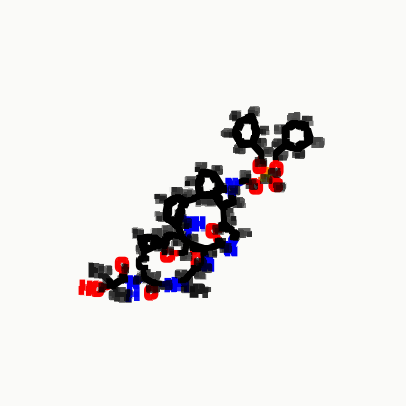 CCC(O)(CC)C(=O)N[C@H]1Cc2ccc3c(c2)[C@]24c5cccc(c5NC2O3)-c2cccc3c2c(cn3COP(=O)(OCc2ccccc2)OCc2ccccc2)-c2cnc(o2)-c2nc(oc24)[C@H](C(C)C)NC1=O